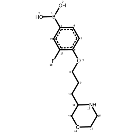 OB(O)c1ccc(OCCCC2COCCN2)c(F)c1